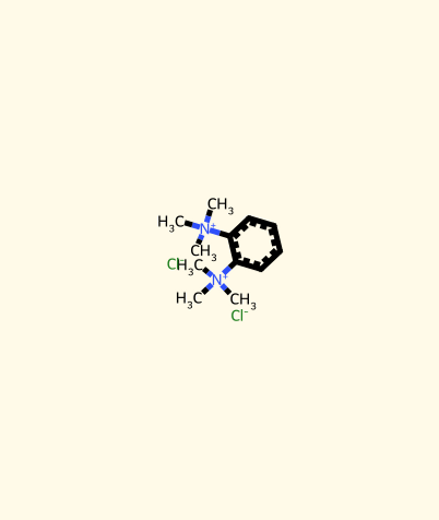 C[N+](C)(C)c1ccccc1[N+](C)(C)C.[Cl-].[Cl-]